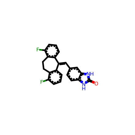 O=c1[nH]c2ccc(C=C3c4cccc(F)c4CCc4c(F)cccc43)cc2[nH]1